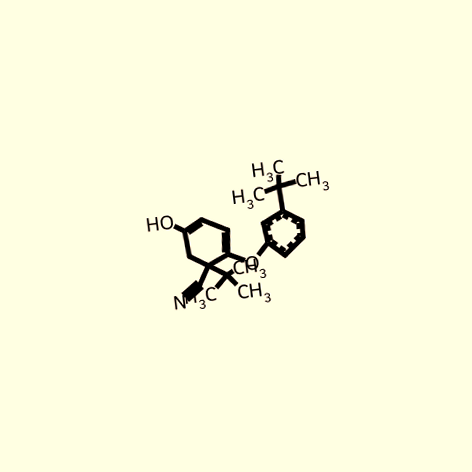 CC(C)(C)c1cccc(OC2=CC=C(O)CC2(C#N)C(C)(C)C)c1